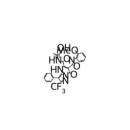 COc1cccc2oc(-c3c(C(=O)N[C@@H](C)CO)[nH]c4c(-c5ccccc5)c(C(F)(F)F)nn4c3=O)nc12